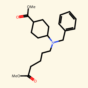 COC(=O)CCCCN(Cc1ccccc1)C1CCC(C(=O)OC)CC1